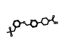 CS(=O)(=O)Cc1cccc(OCc2ccc(C3CCN(C(=O)O)CC3)cn2)c1